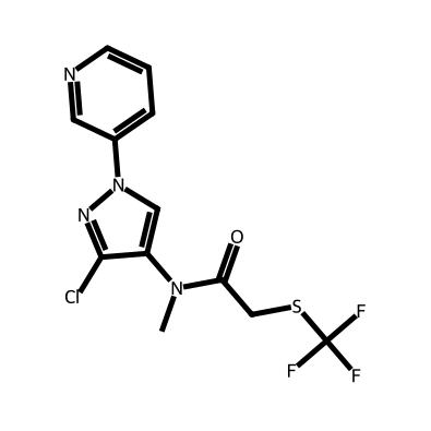 CN(C(=O)CSC(F)(F)F)c1cn(-c2cccnc2)nc1Cl